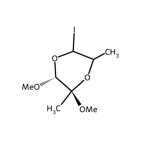 CO[C@@H]1OC(I)C(C)O[C@@]1(C)OC